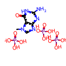 Cn1cnc2nc(N)[nH]c(=O)c21.O=P(O)(O)O.O=P(O)(O)O.O=P(O)(O)O